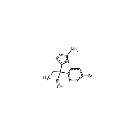 C#CC(CC)(c1ccc(Br)cc1)c1csc(N)n1